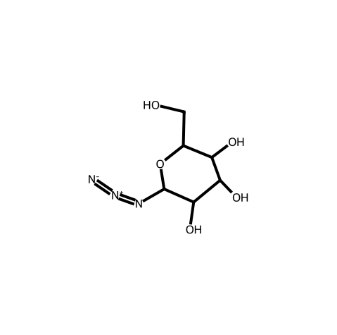 [N-]=[N+]=NC1OC(CO)C(O)C(O)C1O